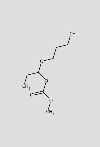 CCCCOC(CC)OC(=O)OC